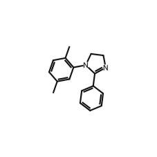 Cc1ccc(C)c(N2CCN=C2c2ccccc2)c1